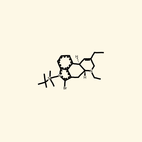 CCC1=C[C@@H]2c3cccc4c3c(c(Br)n4[Si](C)(C)C(C)(C)C)C[C@H]2N(CC)C1